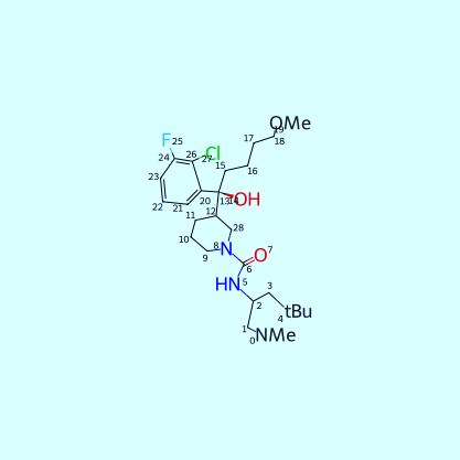 CNCC(CC(C)(C)C)NC(=O)N1CCCC([C@@](O)(CCCCOC)c2cccc(F)c2Cl)C1